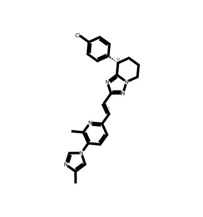 Cc1cn(-c2ccc(/C=C/c3nc4n(n3)CCC[C@H]4c3ccc(Cl)cc3)nc2C)cn1